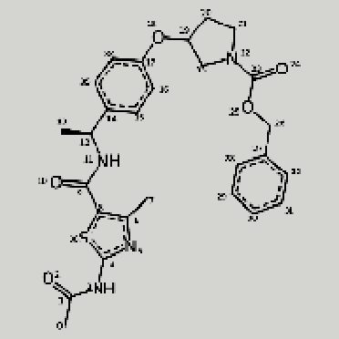 CC(=O)Nc1nc(C)c(C(=O)N[C@@H](C)c2ccc(OC3CCN(C(=O)OCc4ccccc4)C3)cc2)s1